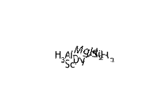 [AlH3].[MgH2].[Sc].[SiH3][Dy]